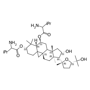 CC(C)C(N)C(=O)O[C@H]1CC2[C@]3(CC[C@]4(C)[C@@H]([C@@]5(C)CC[C@@H](C(C)(C)O)O5)[C@@H](O)C[C@@]24C)CC32CC[C@H](OC(=O)C(N)C(C)C)C(C)(C)[C@H]12